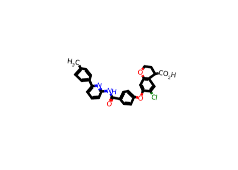 Cc1ccc(-c2cccc(NC(=O)c3ccc(Oc4cc5c(cc4Cl)C(C(=O)O)CCO5)cc3)n2)cc1